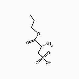 CCCOC(=O)[C@H](N)CS(=O)(=O)O